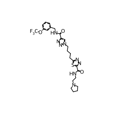 O=C(NCc1cccc(OC(F)(F)F)c1)c1cn(CCCCc2nnc(C(=O)NCCN3CCCC3)s2)nn1